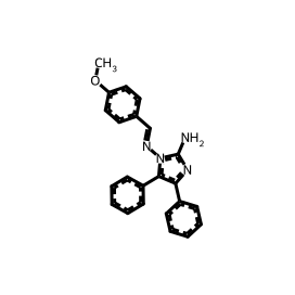 COc1ccc(C=Nn2c(N)nc(-c3ccccc3)c2-c2ccccc2)cc1